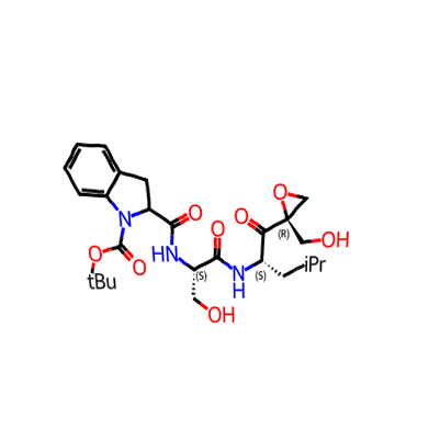 CC(C)C[C@H](NC(=O)[C@H](CO)NC(=O)C1Cc2ccccc2N1C(=O)OC(C)(C)C)C(=O)[C@@]1(CO)CO1